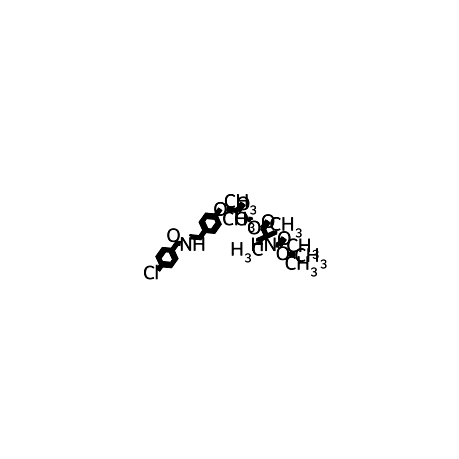 CCC(CC)(NC(=O)OC(C)(C)C)C(=O)OCOC(=O)C(C)(C)Oc1ccc(CCNC(=O)c2ccc(Cl)cc2)cc1